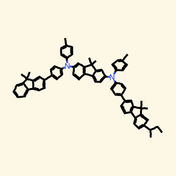 CCC(C)c1ccc2c(c1)C(C)(C)c1cc(-c3ccc(N(c4ccc(C)cc4)c4ccc5c(c4)C(C)(C)c4cc(N(c6ccc(C)cc6)c6ccc(-c7ccc8c(c7)C(C)(C)c7ccccc7-8)cc6)ccc4-5)cc3)ccc1-2